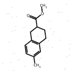 COC(=O)C1CCc2cc(C)ccc2C1